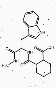 CNC(=O)[C@H](Cc1c[nH]c2ccccc12)NC(=O)C1CCCCC1C(=O)O